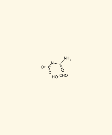 NC(=O)N=S(=O)=O.O=CO